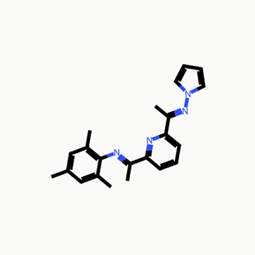 C/C(=N\c1c(C)cc(C)cc1C)c1cccc(/C(C)=N/n2cccc2)n1